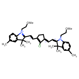 COCCN1/C(=C/C=C2\CCC(/C=C/C3=[N+](CCOC)c4ccc(C)cc4C3(C)C)=C2Cl)C(C)(C)c2cc(C)ccc21